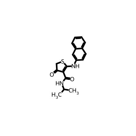 CC(C)NC(=O)C1=C(Nc2ccc3ccccc3c2)SCC1=O